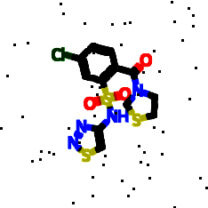 O=C(c1ccc(Cl)cc1S(=O)(=O)Nc1csnn1)N1CCSC1